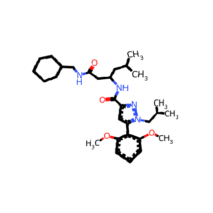 COc1cccc(OC)c1-c1cc(C(=O)NC(CC(=O)NCC2CCCCC2)CC(C)C)nn1CC(C)C